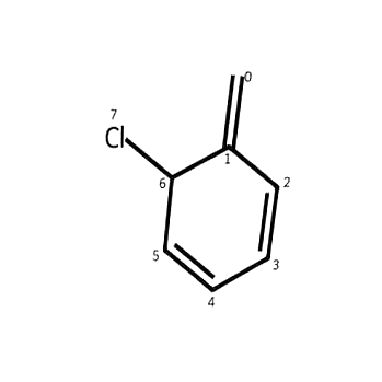 C=C1C=CC=CC1Cl